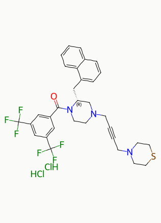 Cl.Cl.O=C(c1cc(C(F)(F)F)cc(C(F)(F)F)c1)N1CCN(CC#CCN2CCSCC2)C[C@H]1Cc1cccc2ccccc12